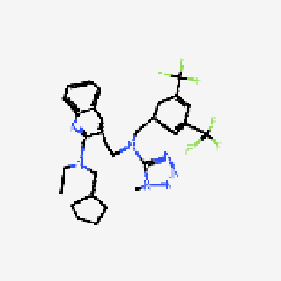 CCN(CC1CCCC1)c1nc2ccccc2cc1CN(CC1C=C(C(F)(F)F)C=C(C(F)(F)F)C1)c1nnnn1C